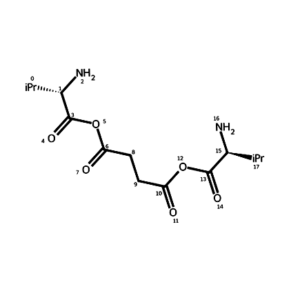 CC(C)[C@H](N)C(=O)OC(=O)CCC(=O)OC(=O)[C@@H](N)C(C)C